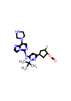 CC(C)(C)n1nc(C2CC(F)C(OC=O)C2)cc1Nc1ncc(N2CCNCC2)c2nccn12